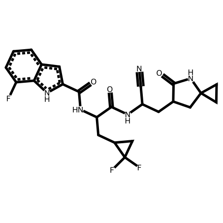 N#CC(CC1CC2(CC2)NC1=O)NC(=O)C(CC1CC1(F)F)NC(=O)c1cc2cccc(F)c2[nH]1